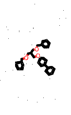 c1ccc(COCC(COCc2ccccc2)COc2ccc(-c3ccccc3)cc2)cc1